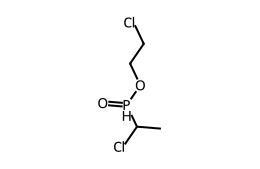 CC(Cl)[PH](=O)OCCCl